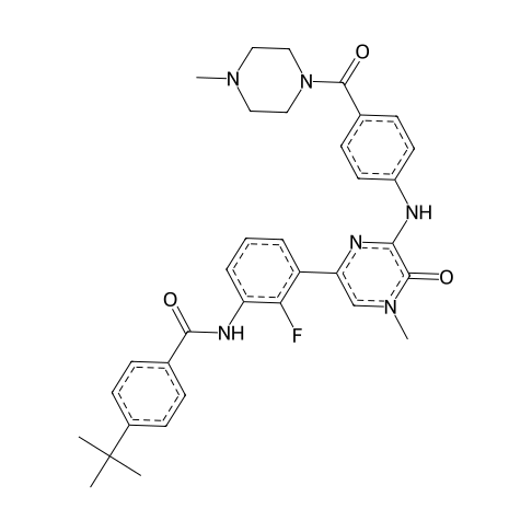 CN1CCN(C(=O)c2ccc(Nc3nc(-c4cccc(NC(=O)c5ccc(C(C)(C)C)cc5)c4F)cn(C)c3=O)cc2)CC1